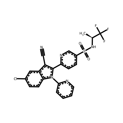 C[C@H](NS(=O)(=O)c1ccc(-c2c(C#N)c3cc(Cl)ccc3n2-c2ccccn2)nc1)C(F)(F)F